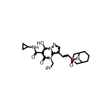 CC(C)Cn1c(=O)c(C(=O)NC2CC2)c(O)n2ncc(/C=C/C(=O)N3C4CCCC3COC4)c12